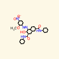 COc1cc([N+](=O)[O-])ccc1/N=N/c1c(O)c(C(=O)Nc2ccccc2)cc2cc(C(=O)Nc3ccccc3)ccc12